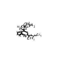 CCCCCC(C)c1cc(C(=O)OC(C)(C)C)c2ccccc2n1